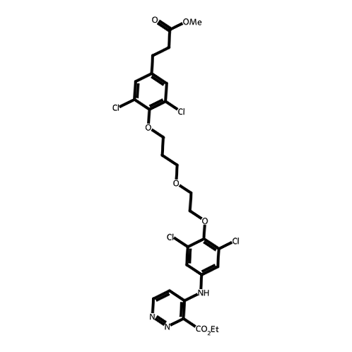 CCOC(=O)c1nnccc1Nc1cc(Cl)c(OCCOCCCOc2c(Cl)cc(CCC(=O)OC)cc2Cl)c(Cl)c1